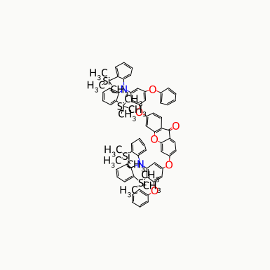 C[Si](C)(C)c1ccccc1N(c1cc(Oc2ccccc2)cc(Oc2ccc3c(=O)c4ccc(Oc5cc(Oc6ccccc6)cc(N(c6ccccc6[Si](C)(C)C)c6ccccc6[Si](C)(C)C)c5)cc4oc3c2)c1)c1ccccc1[Si](C)(C)C